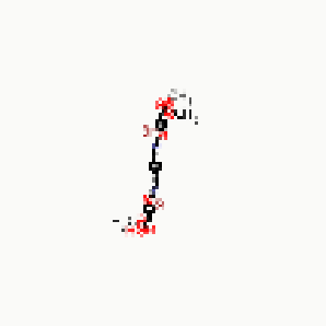 CCOC(=O)C(Cc1ccc(OC/C=C/C#Cc2ccc(C#C/C=C/COc3ccc(CC(OCC)C(=O)O)cc3Br)cc2)c(Br)c1)OCC